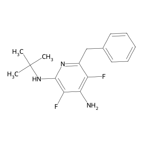 CC(C)(C)Nc1nc(Cc2ccccc2)c(F)c(N)c1F